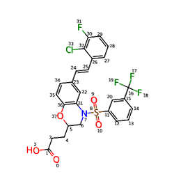 O=C(O)CCC1CN(S(=O)(=O)c2cccc(C(F)(F)F)c2)c2cc(C=Cc3cccc(F)c3Cl)ccc2O1